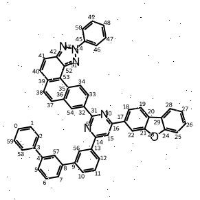 c1ccc(-c2cccc(-c3cccc(-c4cc(-c5ccc6c(c5)oc5ccccc56)nc(-c5ccc6c(ccc7ccc8nn(-c9ccccc9)nc8c76)c5)n4)c3)c2)cc1